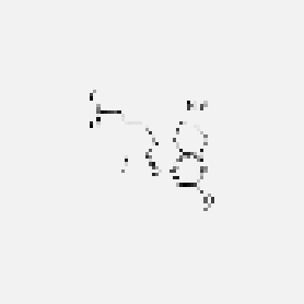 CCC(=O)N(CCCC(=O)[O-])C1CCCc2cc(OC)ccc21.[Na+]